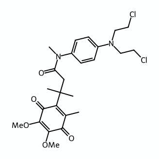 COC1=C(OC)C(=O)C(C(C)(C)CC(=O)N(C)c2ccc(N(CCCl)CCCl)cc2)=C(C)C1=O